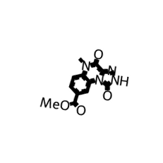 COC(=O)c1ccc2c(c1)n1c(=O)[nH]nc1c(=O)n2C